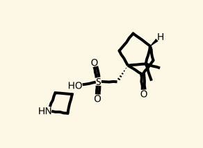 C1CNC1.CC1(C)[C@@H]2CC[C@]1(CS(=O)(=O)O)C(=O)C2